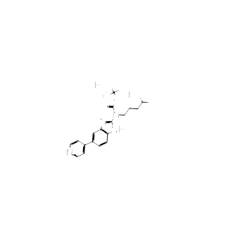 CC(C)CCCN(C(=O)OC(C)(C)C)c1nc2cc(-c3ccncc3)ccc2[nH]1